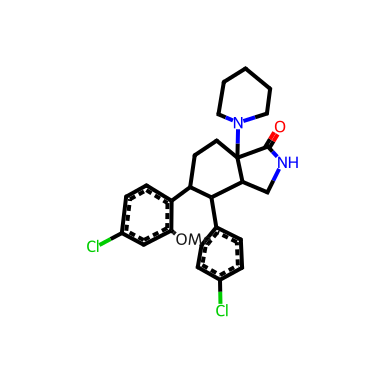 COc1cc(Cl)ccc1C1CCC2(N3CCCCC3)C(=O)NCC2C1c1ccc(Cl)cc1